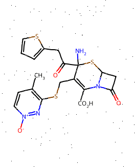 Cc1cc[n+]([O-])nc1SCC1=C(C(=O)O)N2C(=O)CC2SC1(N)C(=O)Cc1cccs1